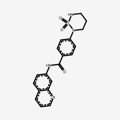 O=C(Nc1ccc2cccnc2c1)c1ccc(N2CCCNS2(=O)=O)cc1